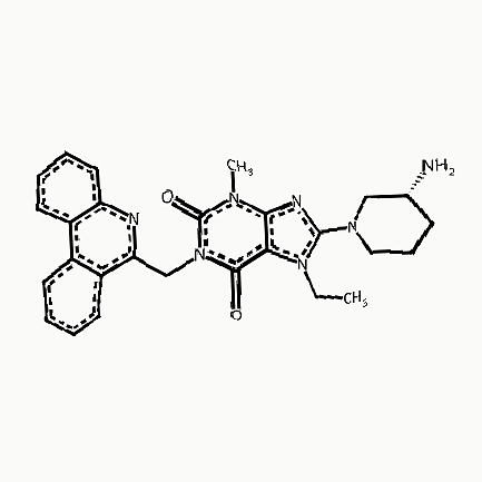 CCn1c(N2CCC[C@@H](N)C2)nc2c1c(=O)n(Cc1nc3ccccc3c3ccccc13)c(=O)n2C